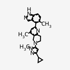 Cc1cc(-c2c(C)ccc3[nH]ncc23)nc2c1CN(c1cc(C3CC3)nn1C)CC2